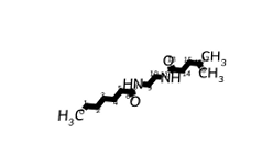 CCCCCCC(=O)NCCNC(=O)CCC(C)C